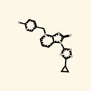 O=c1nc2n(Cc3ccc(Cl)nc3)cccc-2n1-c1nnc(C2CC2)o1